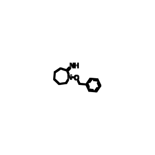 N=C1CCCCCN1OCc1ccccc1